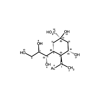 CC(=O)N(C)[C@H]1[C@H]([C@H](O)C(O)CO)C[C@](O)(C(=O)O)C[C@@H]1O